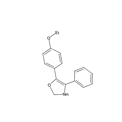 CCOc1ccc(C2=C(c3ccccc3)NCO2)cc1